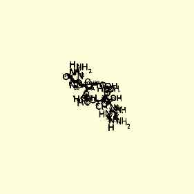 C[C@@H]1O[PH](O)(O)OC2=C(n3cnc4c(=O)[nH]c(N)nc43)O/C(=C/O[PH](O)(O)Oc3c1oc(N1CNC4=C(N)NCNC41)c3O)C2